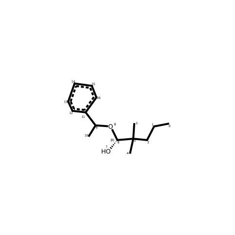 CCCC(C)(C)[C@H](O)OC(C)c1ccccc1